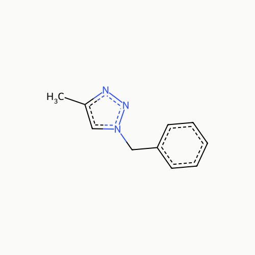 Cc1cn(Cc2ccccc2)nn1